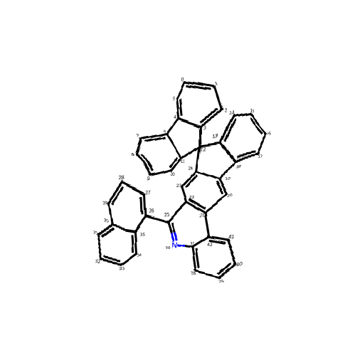 c1ccc2c(c1)-c1ccccc1C21c2ccccc2-c2cc3c(cc21)c(-c1cccc2ccccc12)nc1ccccc13